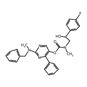 CN(CC(O)c1ccc(F)cc1)C(=O)Oc1cnc(N(C)Cc2ccccc2)nc1-c1ccccc1